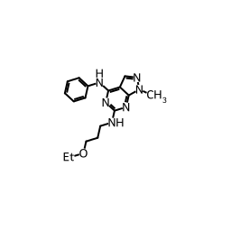 CCOCCCNc1nc(Nc2ccccc2)c2cnn(C)c2n1